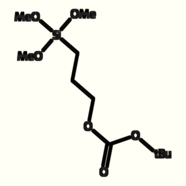 CO[Si](CCCOC(=O)OC(C)(C)C)(OC)OC